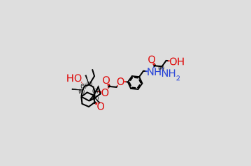 CC[C@]1(C)C[C@@H](OC(=O)COc2cccc(CNC(=O)[C@H](N)CO)c2)[C@]2(C)CCC34CC(CCC3=O)(C42)[C@@H](C)[C@@H]1O